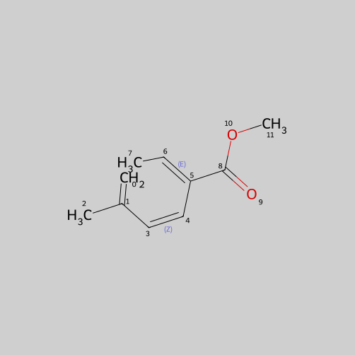 C=C(C)/C=C\C(=C/C)C(=O)OC